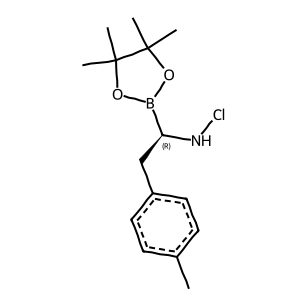 Cc1ccc(C[C@H](NCl)B2OC(C)(C)C(C)(C)O2)cc1